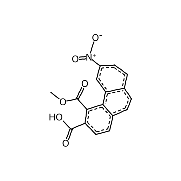 COC(=O)c1c(C(=O)O)ccc2ccc3ccc([N+](=O)[O-])cc3c12